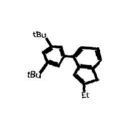 CCC1=Cc2c(cccc2-c2cc(C(C)(C)C)cc(C(C)(C)C)c2)[CH]1